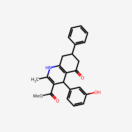 COC(=O)C1=C(C)NC2=C(C(=O)CC(c3ccccc3)C2)C1c1cccc(O)c1